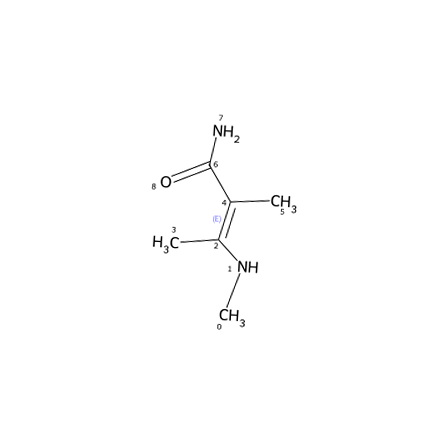 CN/C(C)=C(\C)C(N)=O